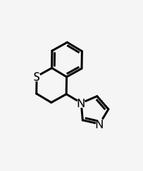 c1ccc2c(c1)SCCC2n1ccnc1